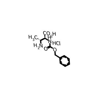 C[C@@H](N)[C@H](NC(=O)OCc1ccccc1)C(=O)O.Cl